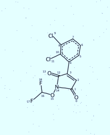 O=C1C=C(c2cccc(Cl)c2Cl)C(=O)N1OC(F)F